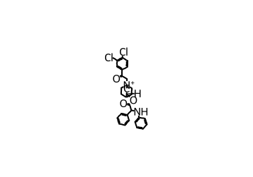 O=C(C[N+]12CCC(CC1)[C@@H](OC(=O)C(Nc1ccccc1)c1ccccc1)C2)c1ccc(Cl)c(Cl)c1